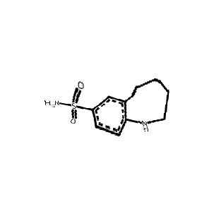 NS(=O)(=O)c1ccc2c(c1)CCCCN2